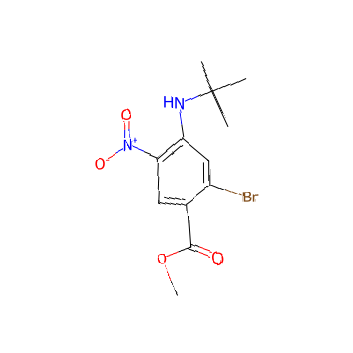 COC(=O)c1cc([N+](=O)[O-])c(NC(C)(C)C)cc1Br